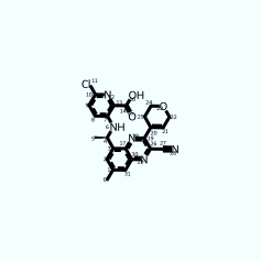 Cc1cc([C@@H](C)Nc2ccc(Cl)nc2C(=O)O)c2nc(C3=CCOCC3)c(C#N)nc2c1